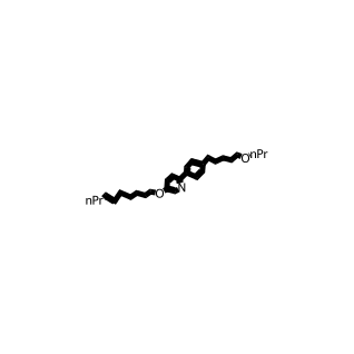 CCCC=CCCCCCOc1ccc(-c2ccc(CCCCCOCCC)cc2)nc1